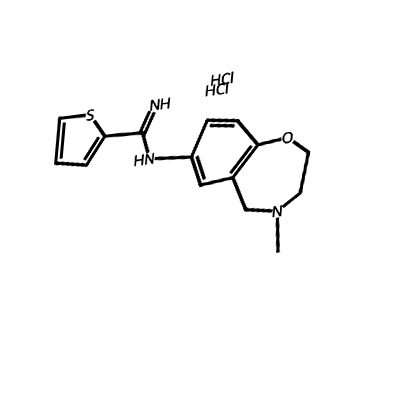 CN1CCOc2ccc(NC(=N)c3cccs3)cc2C1.Cl.Cl